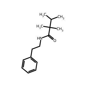 CC(C)C(C)(C)C(=O)NCCc1ccccc1